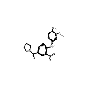 COc1cc(Nc2ccc(C(=O)N3CCCC3)cc2[N+](=O)[O-])ccc1N